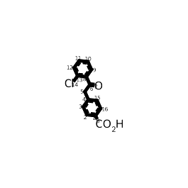 O=C(O)c1ccc(CC(=O)c2ccccc2Cl)cc1